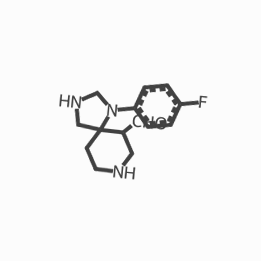 O=CC1CNCCC12CNCN2c1ccc(F)cc1